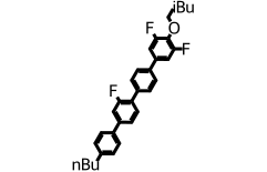 CCCCc1ccc(-c2ccc(-c3ccc(-c4cc(F)c(OCC(C)CC)c(F)c4)cc3)c(F)c2)cc1